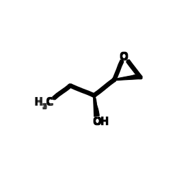 CC[C@H](O)[C@@H]1CO1